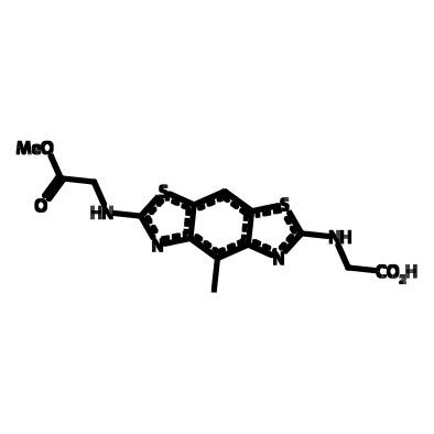 COC(=O)CNc1nc2c(C)c3nc(NCC(=O)O)sc3cc2s1